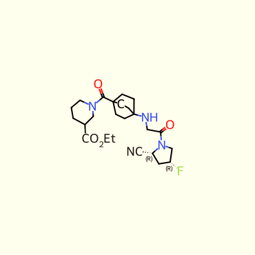 CCOC(=O)C1CCCN(C(=O)C23CCC(NCC(=O)N4C[C@H](F)C[C@@H]4C#N)(CC2)CC3)C1